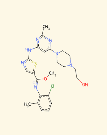 CO/C(=N\c1c(C)cccc1Cl)c1cnc(Nc2cc(N3CCN(CCO)CC3)nc(C)n2)s1